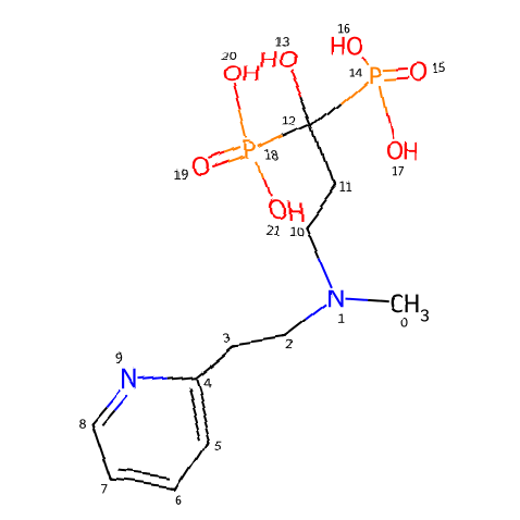 CN(CCc1ccccn1)CCC(O)(P(=O)(O)O)P(=O)(O)O